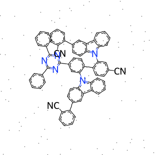 N#Cc1ccc(-c2ccc(-c3nc(-c4ccccc4)nc(-c4ccccc4)n3)cc2-n2c3ccccc3c3cc(-c4ccccc4C#N)ccc32)c(-n2c3ccccc3c3cc(-c4ccccc4C#N)ccc32)c1